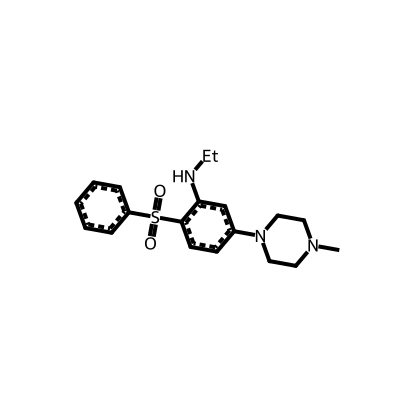 CCNc1cc(N2CCN(C)CC2)ccc1S(=O)(=O)c1ccccc1